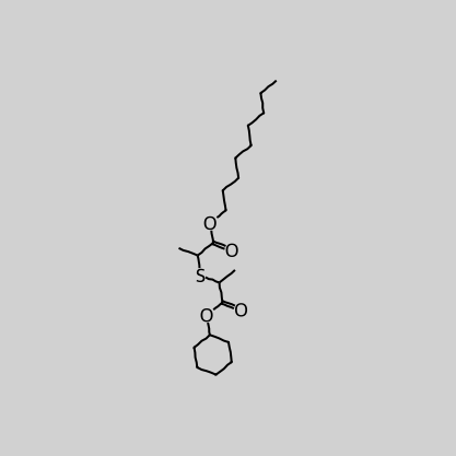 CCCCCCCCCOC(=O)C(C)SC(C)C(=O)OC1CCCCC1